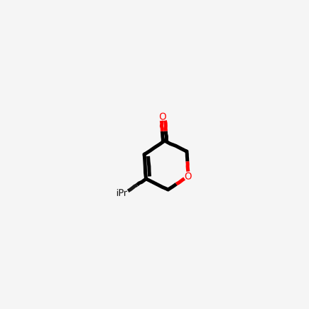 CC(C)C1=CC(=O)COC1